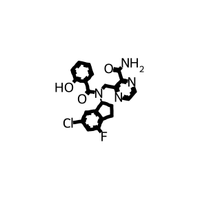 NC(=O)c1nccnc1CN(C(=O)c1ccccc1O)[C@@H]1CCc2c(F)cc(Cl)cc21